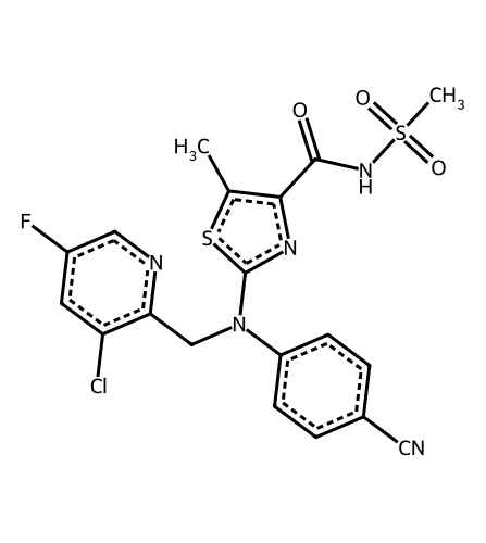 Cc1sc(N(Cc2ncc(F)cc2Cl)c2ccc(C#N)cc2)nc1C(=O)NS(C)(=O)=O